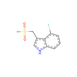 CS(=O)(=O)Cc1c[nH]c2cccc(F)c12